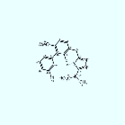 COc1ccc(Cc2nnc(N(C)C(=O)O)s2)c(F)c1-c1cccc(Cl)c1